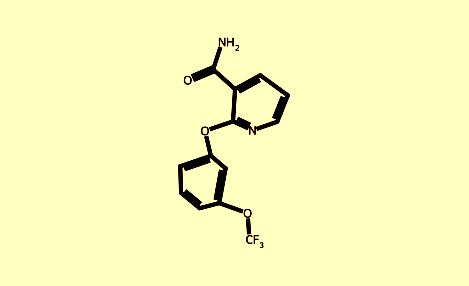 NC(=O)c1cccnc1Oc1cccc(OC(F)(F)F)c1